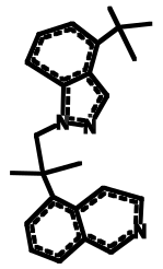 CC(C)(C)c1cccc2c1cnn2CC(C)(C)c1cccc2cnccc12